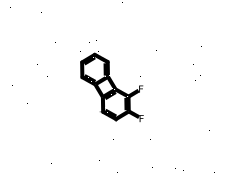 Fc1[c][c]c2c(c1F)-c1ccccc1-2